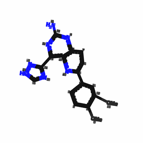 COc1ccc(-c2ccc3nc(N)nc(-c4nc[nH]n4)c3n2)cc1OC